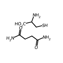 NC(=O)CCC(N)=O.NC(CS)C(=O)O